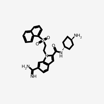 N=C(N)c1ccc2cc(C(=O)N[C@H]3CC[C@H](N)CC3)n(CCS(=O)(=O)c3cccc4ccccc34)c2c1